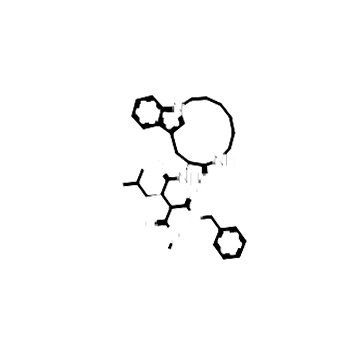 COC(=O)C(C(=O)OCc1ccccc1)[C@@H](CC(C)C)C(=O)N[C@H]1Cc2cn(c3ccccc23)CCCCCCNC1=O